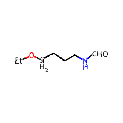 CCO[SiH2]CCCNC=O